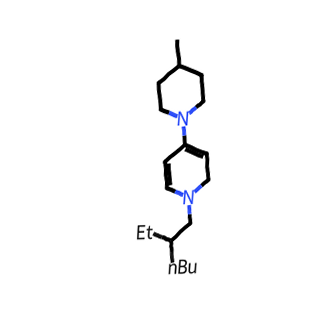 CCCCC(CC)CN1C=CC(N2CCC(C)CC2)=CC1